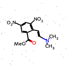 COC(=O)c1cc([N+](=O)[O-])cc([N+](=O)[O-])c1/C=C/N(C)C